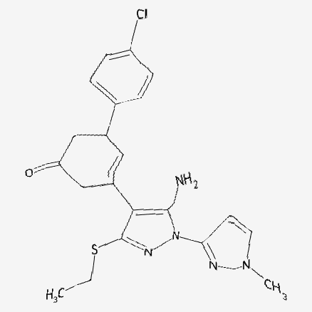 CCSc1nn(-c2ccn(C)n2)c(N)c1C1=CC(c2ccc(Cl)cc2)CC(=O)C1